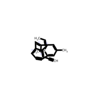 C#C/C=C(\C=C/C)C1=C\C#CC2=CC(C)=CC(\C(CC)=C\1)N2C